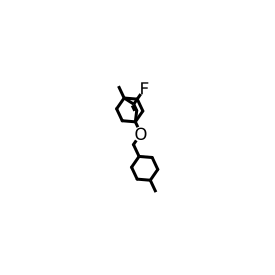 CC1CCC(COC23C=C(F)C(C)(CC2)CC3)CC1